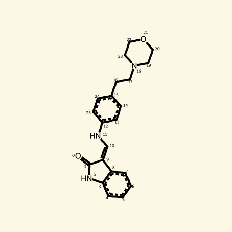 O=C1Nc2ccccc2C1=CNc1ccc(CCN2CCOCC2)cc1